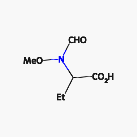 CCC(C(=O)O)N(C=O)OC